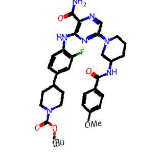 COc1ccc(C(=O)NC2CCCN(c3cnc(C(N)=O)c(Nc4ccc(C5CCN(C(=O)OC(C)(C)C)CC5)cc4F)n3)C2)cc1